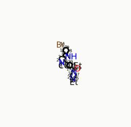 CCOC(=O)N1CCc2c([nH]c3ccc(Br)cc23)C1c1ccc(C(=O)N2CCN(CC)CC2)cc1